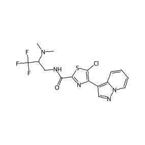 CN(C)C(CNC(=O)c1nc(-c2cnn3ccccc23)c(Cl)s1)C(F)(F)F